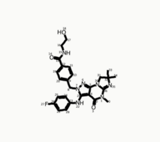 CN1C(=O)c2c(nn(Cc3ccc(C(=O)NCCO)cc3)c2Nc2ccc(F)cc2)N2CC(C)(C)N=C12